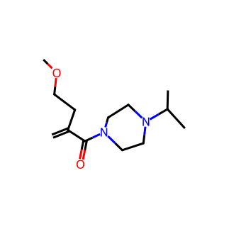 C=C(CCOC)C(=O)N1CCN(C(C)C)CC1